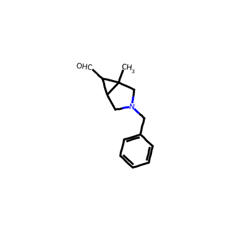 CC12CN(Cc3ccccc3)CC1C2C=O